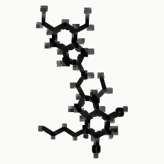 CCCCn1c(=O)[nH]c(=O)c2c1nc(CSc1nc3nc(CC)cc(CC)n3n1)n2CC